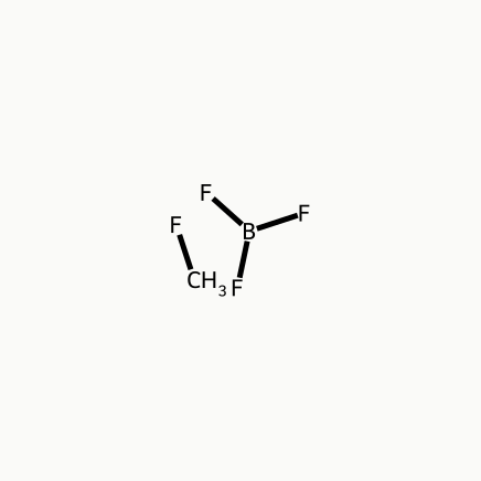 CF.FB(F)F